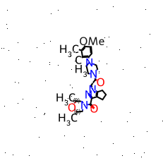 COc1ccc(N2CCN(C(=O)Cn3nc(C(=O)N4C[C@@H](C)O[C@@H](C)C4)c4c3CCC4)CC2)c(C)c1C